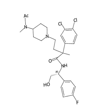 CC(=O)N(C)C1CCN(CCC(C)(C(=O)N[C@@H](CO)c2ccc(F)cc2)c2ccc(Cl)c(Cl)c2)CC1